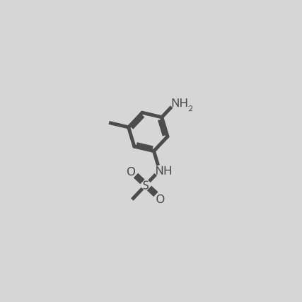 Cc1cc(N)cc(NS(C)(=O)=O)c1